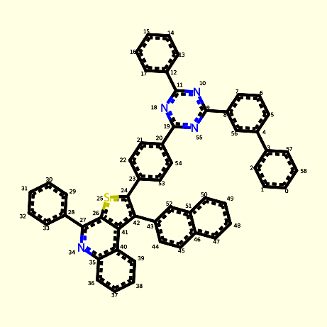 c1ccc(-c2cccc(-c3nc(-c4ccccc4)nc(-c4ccc(-c5sc6c(-c7ccccc7)nc7ccccc7c6c5-c5ccc6ccccc6c5)cc4)n3)c2)cc1